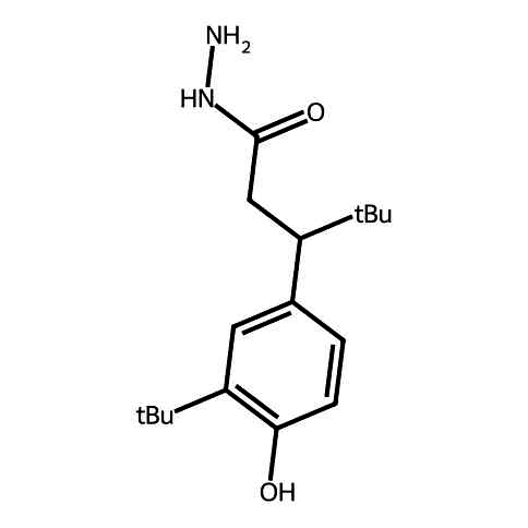 CC(C)(C)c1cc(C(CC(=O)NN)C(C)(C)C)ccc1O